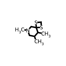 CC1CN(C)CC2(SCS2)C1C